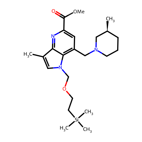 COC(=O)c1cc(CN2CCC[C@H](C)C2)c2c(n1)c(C)cn2COCC[Si](C)(C)C